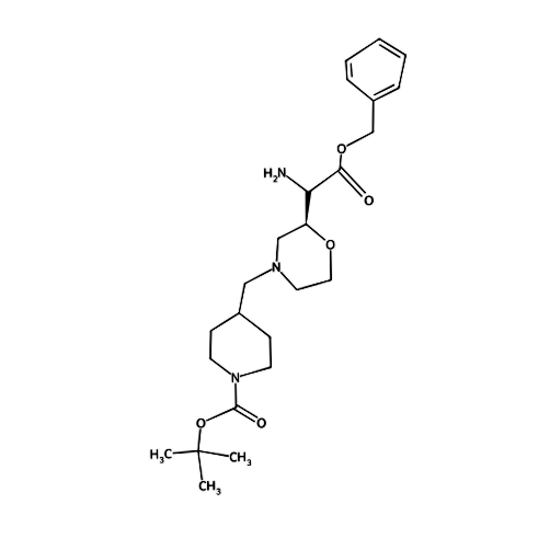 CC(C)(C)OC(=O)N1CCC(CN2CCO[C@H](C(N)C(=O)OCc3ccccc3)C2)CC1